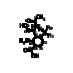 CC(=O)NC(=NO)c1c(C(F)(F)F)ccc(C(=O)O)c1C